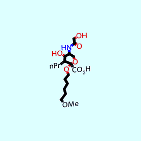 CCCC1C(O)C(NC(=O)CO)COC1(OCCCCCCOC)C(=O)O